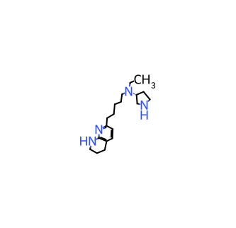 CCN(CCCCCc1ccc2c(n1)NCCC2)[C@@H]1CCNC1